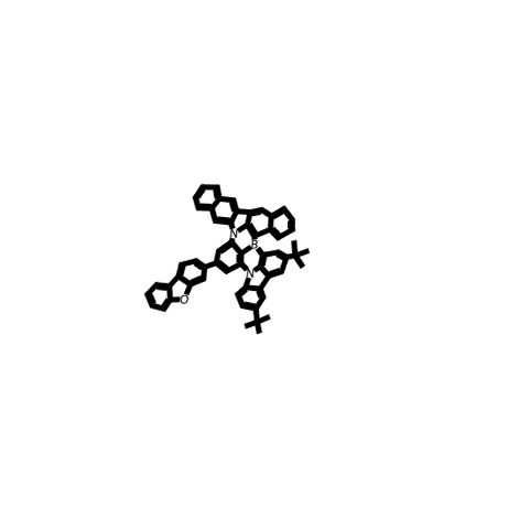 CC(C)(C)c1ccc2c(c1)c1cc(C(C)(C)C)cc3c1n2-c1cc(-c2ccc4c(c2)oc2ccccc24)cc2c1B3c1c3ccccc3cc3c4cc5ccccc5cc4n-2c13